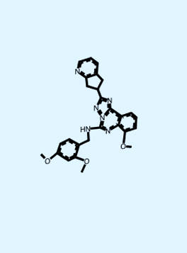 COc1ccc(CNc2nc3c(OC)cccc3c3nc(C4Cc5cccnc5C4)nn23)c(OC)c1